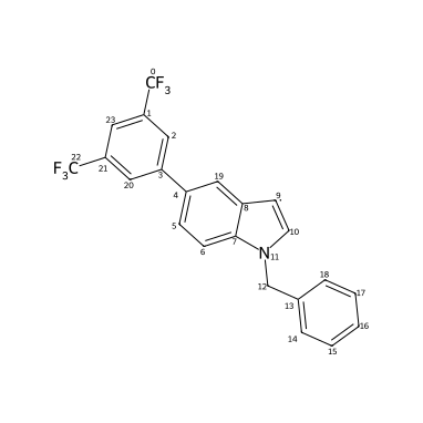 FC(F)(F)c1cc(-c2ccc3c([c]cn3Cc3ccccc3)c2)cc(C(F)(F)F)c1